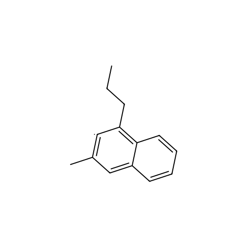 CCCc1[c]c(C)cc2ccccc12